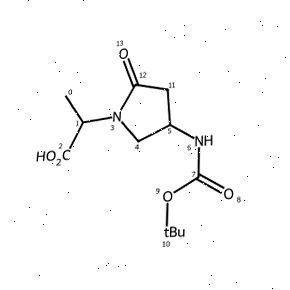 CC(C(=O)O)N1CC(NC(=O)OC(C)(C)C)CC1=O